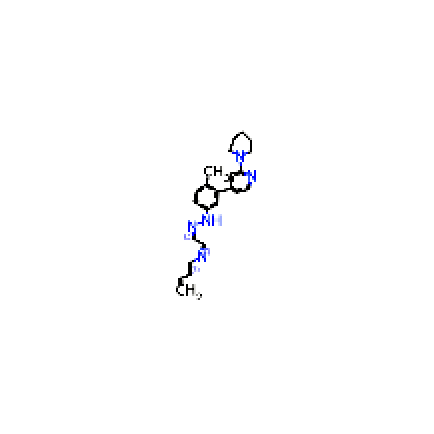 C=C/C=C/N=C\C=N/Nc1ccc(C)c(-c2ccnc(N3CCCCC3)c2)c1